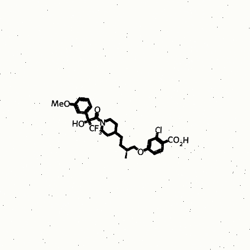 COc1cccc(C(O)(C(=O)N2CCC(CC[C@H](C)COc3ccc(C(=O)O)c(Cl)c3)CC2)C(F)(F)F)c1